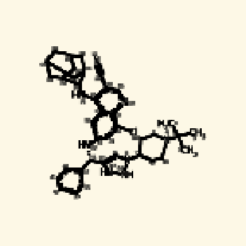 CC(C)(C)N1CCC(N2C=C([C@@H](Nc3cc(Cl)c4ncc(C#N)c(NC5C6CC7CC(C6)CC5C7)c4c3)c3ccccc3)NN2)CC1